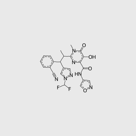 CC(c1nc(C(=O)Nc2cnoc2)c(O)c(=O)n1C)C(c1cnn(C(F)F)c1)c1ccccc1C#N